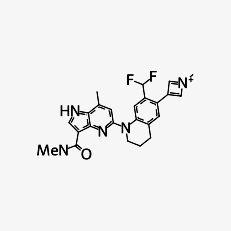 CNC(=O)c1c[nH]c2c(C)cc(N3CCCc4cc(C5=C[N+](C)=C5)c(C(F)F)cc43)nc12